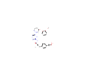 CCOc1ccccc1O[C@@H]1CCCN(c2cncc(NC(=O)C(C)(C)Cc3ccc(C(C)(C)C(=O)O)cc3)n2)C1